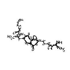 CC(C)(C)COC(=O)N[C@@H](Cc1ccc2oc(CCCNC(=N)N)cc(=O)c2c1)C(=O)O